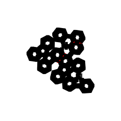 c1ccc(-c2ccccc2N(c2ccc3c(c2)C2(c4ccccc4-c4ccccc42)c2ccccc2-3)c2ccccc2-c2ccc3c(c2)C2(c4ccccc4-3)c3ccccc3-n3c4ccccc4c4cccc2c43)cc1